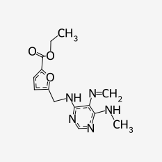 C=Nc1c(NC)ncnc1NCc1ccc(C(=O)OCC)o1